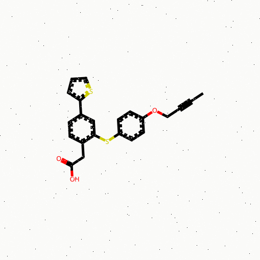 CC#CCOc1ccc(Sc2cc(-c3cccs3)ccc2CC(=O)O)cc1